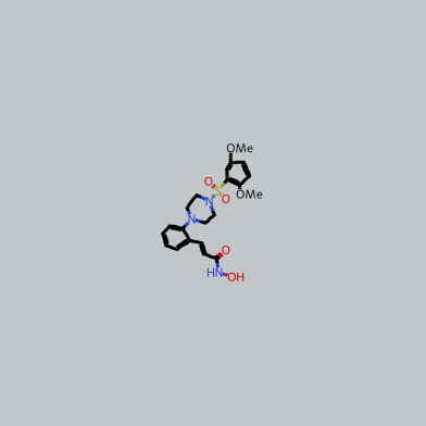 COc1ccc(OC)c(S(=O)(=O)N2CCN(c3ccccc3C=CC(=O)NO)CC2)c1